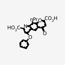 CCCc1c2nc(C(=O)O)cc(Oc3ccccc3)c2cc2c(=O)cc(C(=O)O)oc12